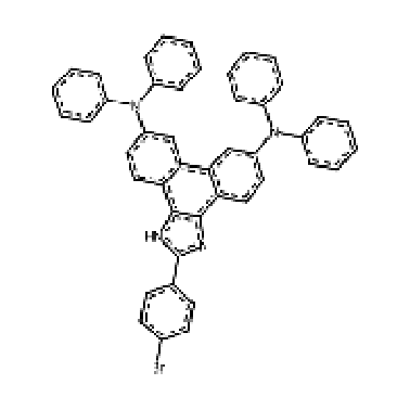 Brc1ccc(-c2nc3c4ccc(N(c5ccccc5)c5ccccc5)cc4c4cc(N(c5ccccc5)c5ccccc5)ccc4c3[nH]2)cc1